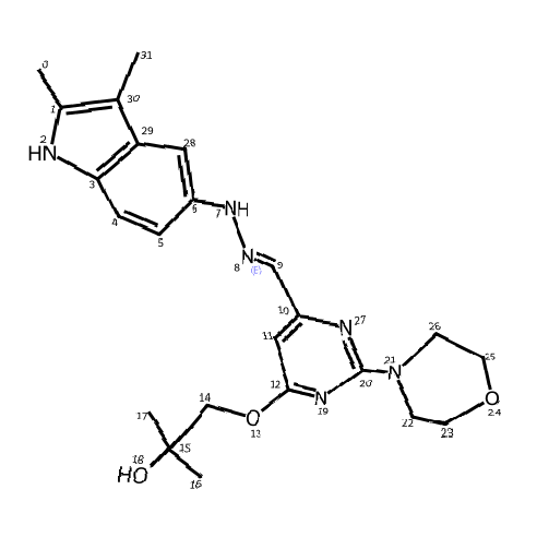 Cc1[nH]c2ccc(N/N=C/c3cc(OCC(C)(C)O)nc(N4CCOCC4)n3)cc2c1C